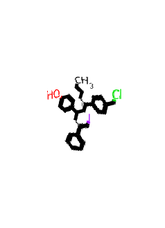 CCCC[C@@H](CC(C[C@H](CI)c1ccccc1)c1ccc(O)cc1)c1ccc(CCl)cc1